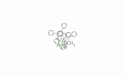 C[SiH](C)[Zr]([Cl])([Cl])([CH]1C(Cc2ccccc2)=Cc2c(-c3ccccc3)ccc(-c3ccccc3)c21)[CH]1C(Cc2ccccc2)=Cc2c(-c3ccccc3)ccc(-c3ccccc3)c21